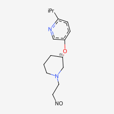 CC(C)c1ccc(O[C@H]2CCCN(CCN=O)C2)cn1